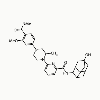 CNC(=O)c1ccc(N2CCN(c3cccc(C(=O)NC4C5CC6CC4CC(O)(C6)C5)n3)C(C)C2)cc1OC